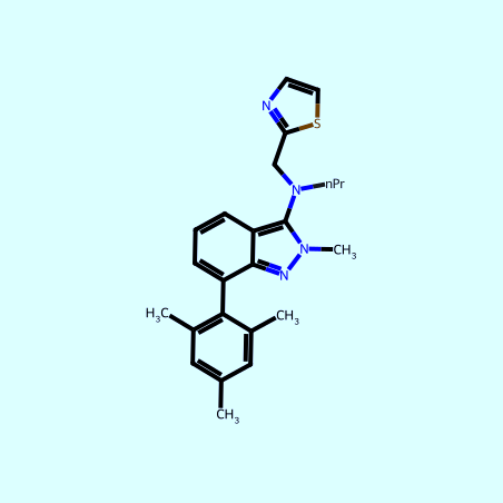 CCCN(Cc1nccs1)c1c2cccc(-c3c(C)cc(C)cc3C)c2nn1C